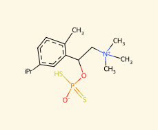 Cc1ccc(C(C)C)cc1C(C[N+](C)(C)C)OP([O-])(=S)S